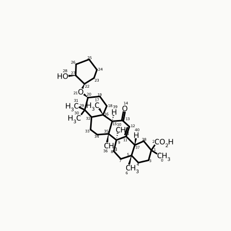 CC1(C(=O)O)CC[C@]2(C)CC[C@]3(C)C(=CC(=O)[C@@H]4[C@@]5(C)CC[C@H](O[C@@H]6CCCC[C@@H]6O)C(C)(C)C5CC[C@]43C)[C@@H]2C1